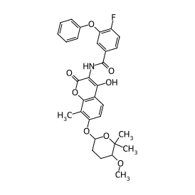 COC1CCC(Oc2ccc3c(O)c(NC(=O)c4ccc(F)c(Oc5ccccc5)c4)c(=O)oc3c2C)OC1(C)C